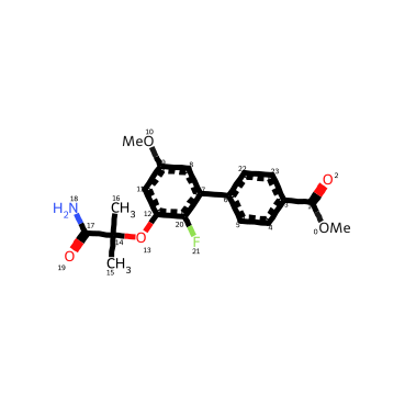 COC(=O)c1ccc(-c2cc(OC)cc(OC(C)(C)C(N)=O)c2F)cc1